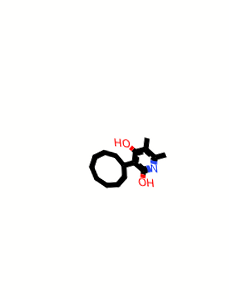 Cc1nc(O)c(C2CCCCCCCC2)c(O)c1C